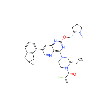 C=C(F)C(=O)N1CCN(c2nc(OC[C@@H]3CCCN3C)nc3cc(-c4cccc5c4C4CC4C5)cnc23)C[C@@H]1CC#N